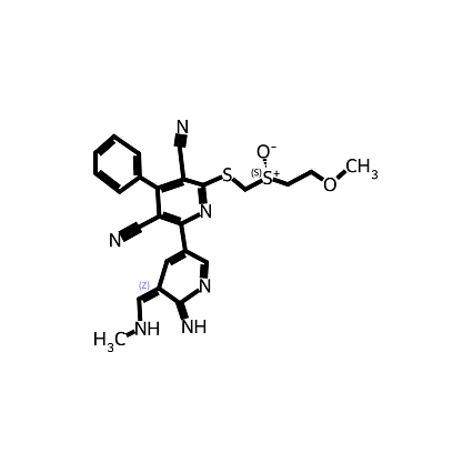 CN/C=C1/C=C(c2nc(SC[S@+]([O-])CCOC)c(C#N)c(-c3ccccc3)c2C#N)C=NC1=N